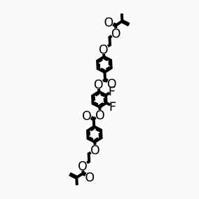 C=C(C)C(=O)OCCOc1ccc(C(=O)Oc2ccc(OC(=O)c3ccc(OCCOC(=O)C(=C)C)cc3)c(F)c2F)cc1